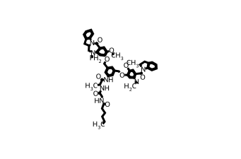 C=Nc1cc(OCc2cc(COc3cc4c(cc3OC)C(=O)N3c5ccccc5CC3CN4P)cc(NC(=O)C(C)NC(=O)CNC(=O)CCCCC)c2)c(OC)cc1C(=O)N1CCc2ccccc21